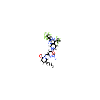 C[C@@H]1CCC(=O)N(C[C@@H](N)CC(=O)N2CCc3c(nc(C(F)(F)C(F)(F)F)nc3C(F)(F)F)C2)C1